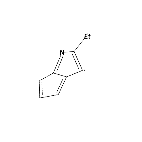 CCC1=[C]C2=CC=CC2=N1